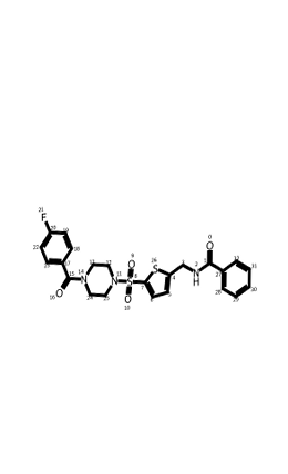 O=C(NCc1ccc(S(=O)(=O)N2CCN(C(=O)c3ccc(F)cc3)CC2)s1)c1ccccc1